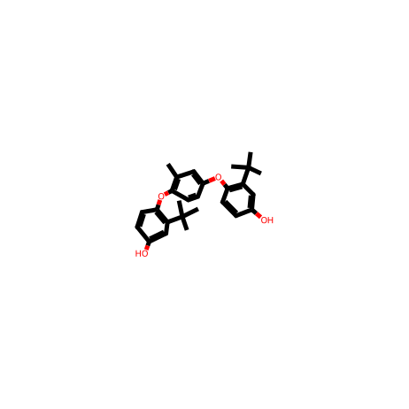 Cc1cc(Oc2ccc(O)cc2C(C)(C)C)ccc1Oc1ccc(O)cc1C(C)(C)C